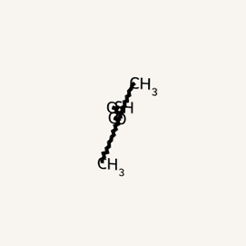 CCCCCCCCCCCCCCCC(=O)OC(CCCCCCCCCCC)CC(=O)S